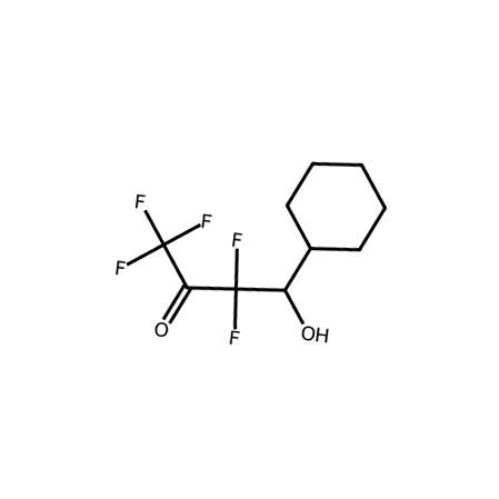 O=C(C(F)(F)F)C(F)(F)C(O)C1CCCCC1